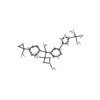 CN1CC(C)(C(O)(c2ccc(C3(C(F)(F)F)CC3)cc2)c2cncc(-c3noc(C(C)(C)O)n3)c2)C1